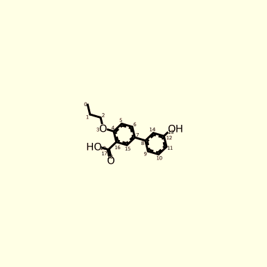 CCCOc1ccc(-c2cccc(O)c2)cc1C(=O)O